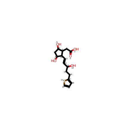 O=C(O)CC1C(O)CC(O)C1C=CC(O)CCc1cccs1